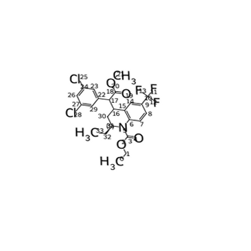 CCOC(=O)N1c2ccc(C(F)(F)F)cc2C(C(C(=O)OC)c2cc(Cl)cc(Cl)c2)C[C@@H]1CC